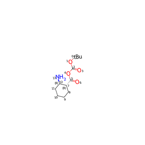 CC(C)(C)OC(=O)OC(=O)[C@@H]1CCCC[C@H]1N